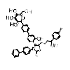 OC[C@H]1O[C@@H](c2ccc(-c3ccc([C@@H]4[C@@H](CCCC(O)c5ccc(F)cc5)SC(=S)N4c4ccc(-c5ccccc5)cc4)c(O)c3)cc2)[C@H](O)[C@@H](O)[C@@H]1O